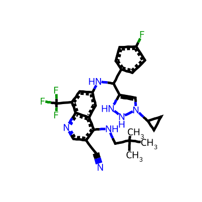 CC(C)(C)CNc1c(C#N)cnc2c(C(F)(F)F)cc(NC(C3=CN(C4CC4)NN3)c3ccc(F)cc3)cc12